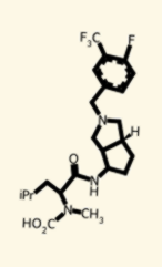 CC(C)CC(C(=O)NC1CC[C@H]2CN(Cc3ccc(F)c(C(F)(F)F)c3)CC12)N(C)C(=O)O